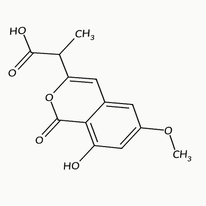 COc1cc(O)c2c(=O)oc(C(C)C(=O)O)cc2c1